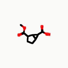 COC(=O)C1CCC2C(C(=O)O)C12